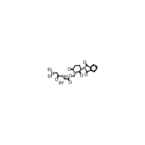 CCN(CC)CC(=O)N[C@H](C(=O)OCN1C(=O)CCC(N2C(=O)c3ccccc3C2=O)C1=O)C(C)C